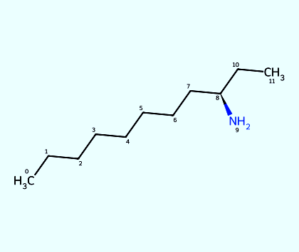 CCCCCCCC[C@H](N)CC